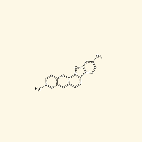 Cc1ccc2cc3c(ccc4c5ccc(C)cc5oc34)cc2c1